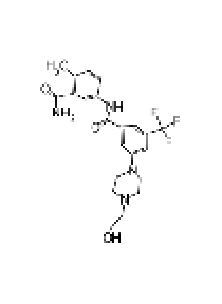 Cc1ccc(NC(=O)c2cc(N3CCN(CCO)CC3)cc(C(F)(F)F)c2)cc1C(N)=O